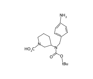 CC(C)(C)OC(=O)N(Cc1ccc(N)cc1)C1CCCN(C(=O)O)C1